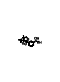 CC(C)(C)C12OOC1(c1cccc(B(O)O)c1)OCC2(C)C